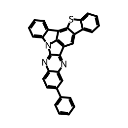 c1ccc(-c2ccc3nc4c(nc3c2)c2cc3c5ccccc5sc3c3c5ccccc5n4c23)cc1